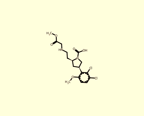 COC(=O)CNCC[C@@H]1C[C@H](c2c(OC)ccc(Cl)c2Cl)CN1C(=O)O